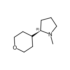 CN1CCC[C@@H]1C1CCOCC1